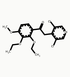 CCOc1c(OC)ccc(C(=O)Cc2c(Cl)cncc2Cl)c1OCC